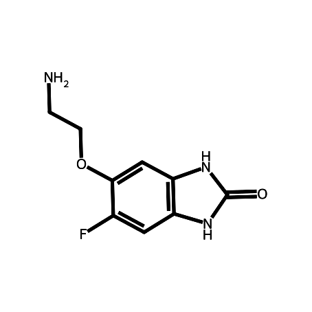 NCCOc1cc2[nH]c(=O)[nH]c2cc1F